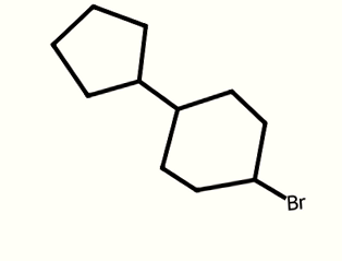 BrC1CCC(C2CCCC2)CC1